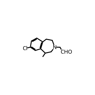 CC1CN(CC=O)CCc2ccc(Cl)cc21